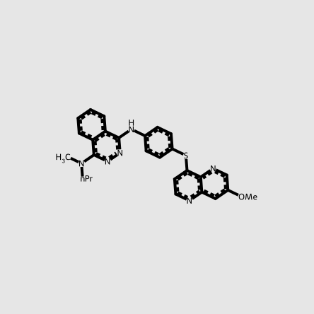 CCCN(C)c1nnc(Nc2ccc(Sc3ccnc4cc(OC)cnc34)cc2)c2ccccc12